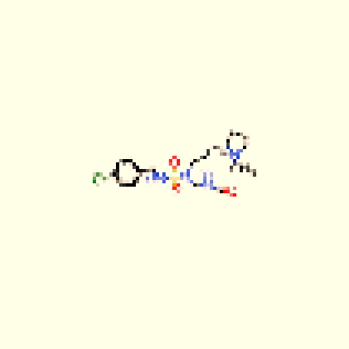 CN1CCC[C@H]1CCCN(CNC=O)S(=O)(=O)NCc1ccc(Cl)cc1